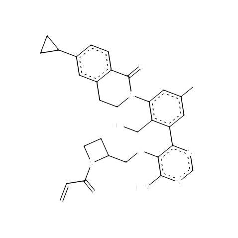 C=CC(=O)N1CCC1COc1c(N)ncnc1-c1cc(F)cc(N2CCc3cc(C4CC4)ccc3C2=O)c1CO